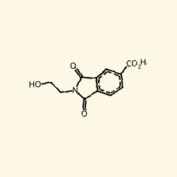 O=C(O)c1ccc2c(c1)C(=O)N(CCO)C2=O